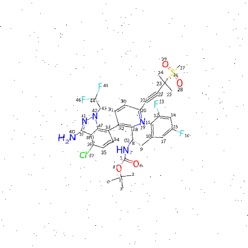 CC(C)(C)OC(=O)N[C@@H](Cc1cc(F)cc(F)c1)c1nc(C#CC(C)(C)S(C)(=O)=O)ccc1-c1ccc(Cl)c2c(N)nn(CC(F)F)c12